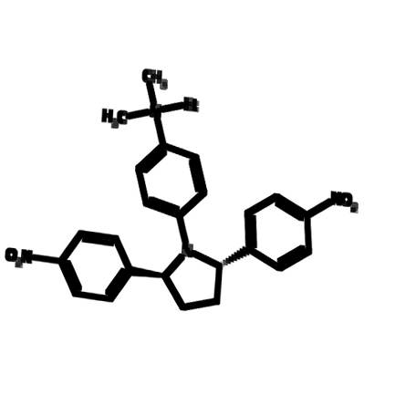 CC[Si](C)(C)c1ccc(N2[C@H](c3ccc([N+](=O)[O-])cc3)CC[C@H]2c2ccc([N+](=O)[O-])cc2)cc1